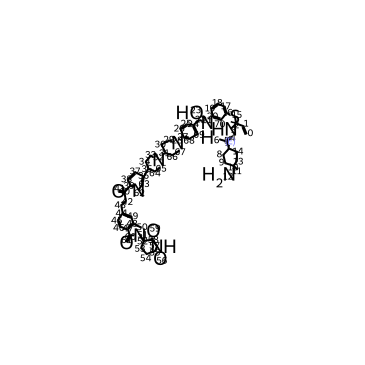 C=CC(N/C=C(\C)C1CCC(C)(N)CC1)Sc1cccc(NC(O)c2ccc(N3CCC(N4CCC(c5ccc(C(=O)CCc6ccc7c(c6)CN(C6CCC(=O)NC6=O)C7=O)nc5)CC4)CC3)cc2)c1